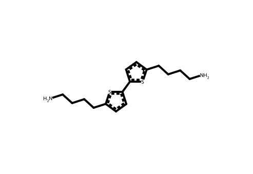 NCCCCc1ccc(-c2ccc(CCCCN)s2)s1